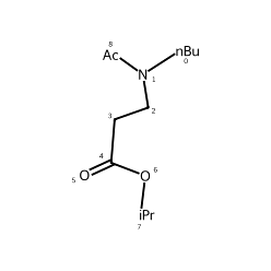 CCCCN(CCC(=O)OC(C)C)C(C)=O